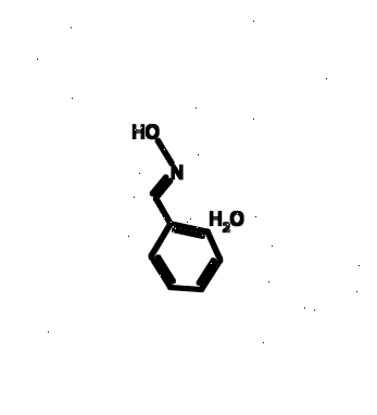 O.ON=Cc1ccccc1